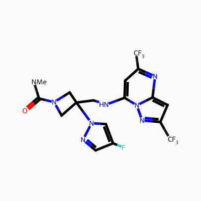 CNC(=O)N1CC(CNc2cc(C(F)(F)F)nc3cc(C(F)(F)F)nn23)(n2cc(F)cn2)C1